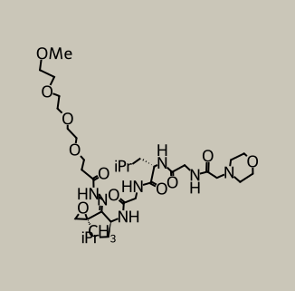 COCCOCCOCCOCCC(=O)N/N=C(/[C@H](CC(C)C)NC(=O)CNC(=O)[C@H](CC(C)C)NC(=O)CNC(=O)CN1CCOCC1)[C@@]1(C)CO1